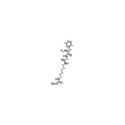 COC(=O)NCCCCCCNC(=O)CNC(=O)[C@@H](N)Cc1ccccc1